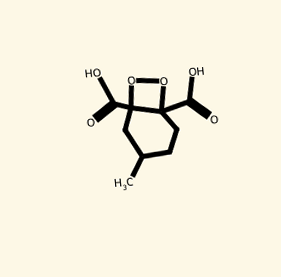 CC1CCC2(C(=O)O)OOC2(C(=O)O)C1